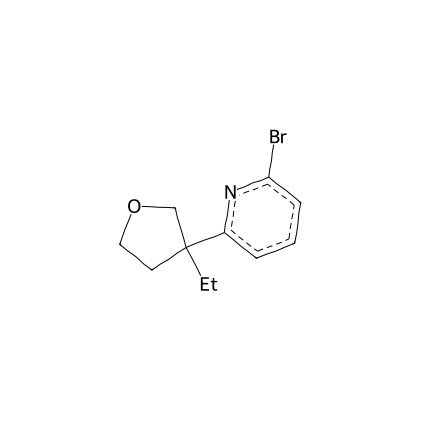 CCC1(c2cccc(Br)n2)CCOC1